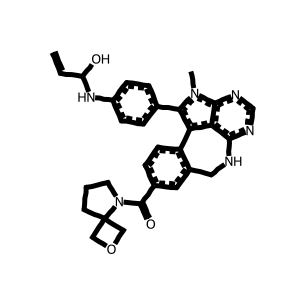 C=CC(O)Nc1ccc(-c2c3c4c(ncnc4n2C)NCc2cc(C(=O)N4CCCC45COC5)ccc2-3)cc1